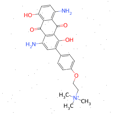 C[N+](C)(C)CCOc1ccc(-c2cc(N)c3c(c2O)C(=O)c2c(N)ccc(O)c2C3=O)cc1